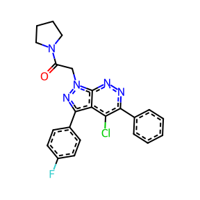 O=C(Cn1nc(-c2ccc(F)cc2)c2c(Cl)c(-c3ccccc3)nnc21)N1CCCC1